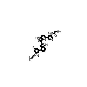 CC(C)CC(=O)Nc1cncc(-c2ccc3[nH]nc(-c4cc5c(-c6cc(F)cc(NCCN(C)C)c6)cccc5[nH]4)c3n2)c1